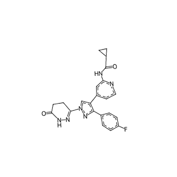 O=C1CCC(n2cc(-c3ccnc(NC(=O)C4CC4)c3)c(-c3ccc(F)cc3)n2)=NN1